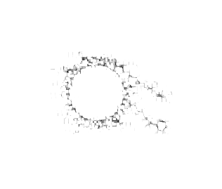 CC[C@@H]1NC(=O)[C@H]([C@H](O)[C@H](C)CCCCCCNC(=O)OC(C)(C)C)N(C)C(=O)[C@H](C(C)C)N(C)C(=O)[C@H](CC(C)C)N(C)C(=O)[C@H](CC(C)C)N(C)C(=O)[C@H](C)NC(=O)[C@@H](C)NC(=O)[C@@H](CC(C)C)N(C)C(=O)[C@@H](C(C)C)NC(=O)[C@H](CC(C)C)N(C)C(=O)[C@@H](SCCCCCOC(=O)c2ccccc2)N(C)C1=O